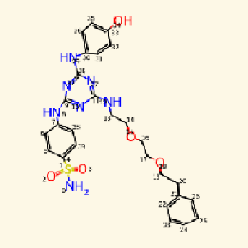 NS(=O)(=O)c1ccc(Nc2nc(NCCOCCOCCc3ccccc3)nc(Nc3ccc(O)cc3)n2)cc1